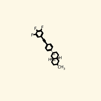 CC1CC[C@@H]2C[C@H](c3ccc(C#Cc4cc(F)c(F)c(F)c4)cc3)CC[C@@H]2C1